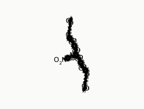 C=CC(=O)OCCCCCCOc1ccc(OC(=O)C2CCC(C(=O)Oc3ccc(OC(=O)C4CCC(C(=O)Oc5ccc(OCCCCCCOC(=O)C=C)cc5)CC4)c4sc(-c5ccc([N+](=O)[O-])cc5)nc34)CC2)cc1